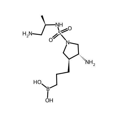 C[C@H](CN)NS(=O)(=O)N1C[C@H](CCCB(O)O)[C@@H](N)C1